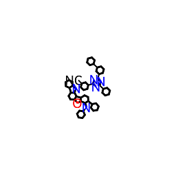 N#Cc1cc(-c2nc(-c3ccccc3)nc(-c3cccc(-c4ccccc4)c3)n2)ccc1-n1c2ccccc2c2ccc3oc4c(ccc5c6ccccc6n(-c6ccccc6)c54)c3c21